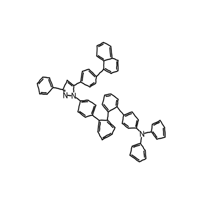 c1ccc(-c2cc(-c3ccc(-c4cccc5ccccc45)cc3)n(-c3ccc(-c4ccccc4-c4ccccc4-c4ccc(N(c5ccccc5)c5ccccc5)cc4)cc3)n2)cc1